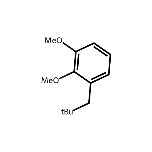 COc1cccc(CC(C)(C)C)c1OC